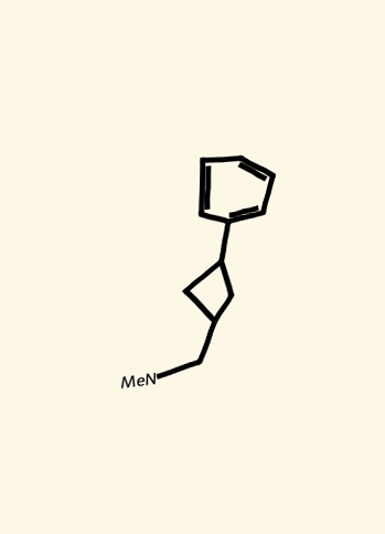 CNCC1CC(c2ccccc2)C1